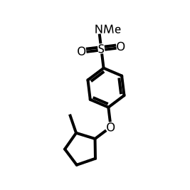 CNS(=O)(=O)c1ccc(OC2CCCC2C)cc1